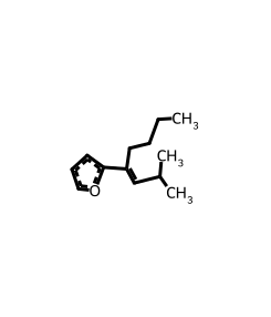 CCCC/C(=C\C(C)C)c1ccco1